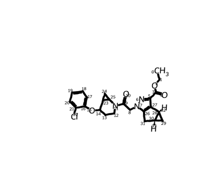 CCOC(=O)c1nn(CC(=O)N2CCC(Oc3ccccc3Cl)C3CC32)c2c1[C@@H]1C[C@@H]1C2